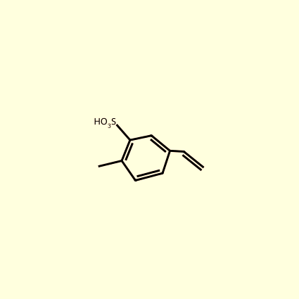 C=Cc1ccc(C)c(S(=O)(=O)O)c1